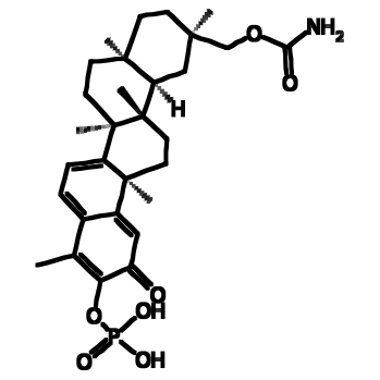 CC1=C(OP(=O)(O)O)C(=O)C=C2C1=CC=C1[C@@]2(C)CC[C@@]2(C)[C@@H]3C[C@](C)(COC(N)=O)CC[C@]3(C)CC[C@]12C